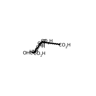 O=[C]CC[C@H](NC(=O)COCCOCCNC(=O)CC[C@H](NC(=O)CCCCCCCCCCCCCCCCC(=O)O)C(=O)O)C(=O)O